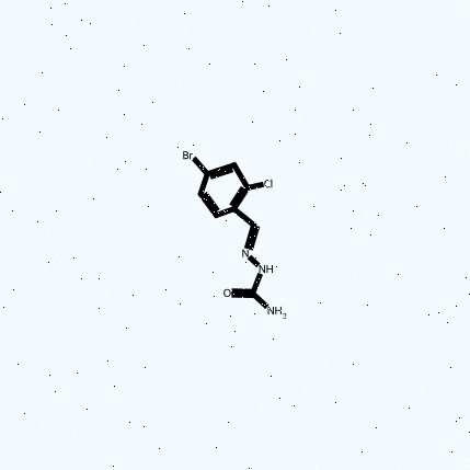 NC(=O)NN=Cc1ccc(Br)cc1Cl